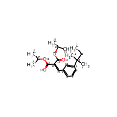 CCC(C)(C)c1[c]ccc(C=C(C(=O)OC(C)C)C(=O)OC(C)C)c1